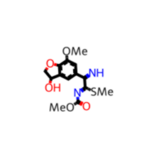 COC(=O)N=C(SC)C(=N)c1cc(OC)c2c(c1)C(O)CO2